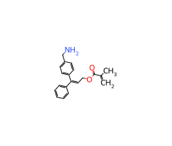 C=C(C)C(=O)OCC=C(c1ccccc1)c1ccc(CN)cc1